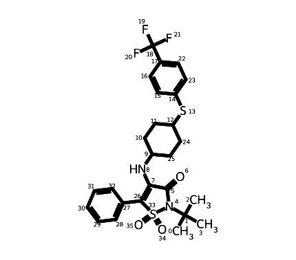 CC(C)(C)N1C(=O)C(NC2CCC(Sc3ccc(C(F)(F)F)cc3)CC2)=C(c2ccccc2)S1(=O)=O